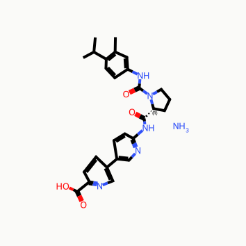 Cc1cc(NC(=O)N2CCC[C@@H]2C(=O)Nc2ccc(-c3ccc(C(=O)O)nc3)cn2)ccc1C(C)C.N